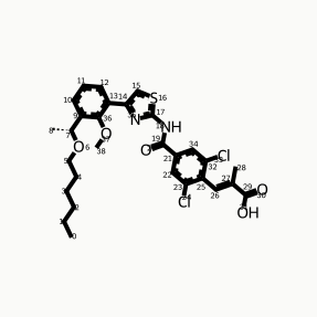 CCCCCCO[C@H](C)c1cccc(-c2csc(NC(=O)c3cc(Cl)c(/C=C(\C)C(=O)O)c(Cl)c3)n2)c1OC